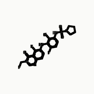 O=c1c2c(F)c(Nc3c(F)ccc(NS(=O)(=O)N4CCCC4)c3Cl)ccc2ncn1CF